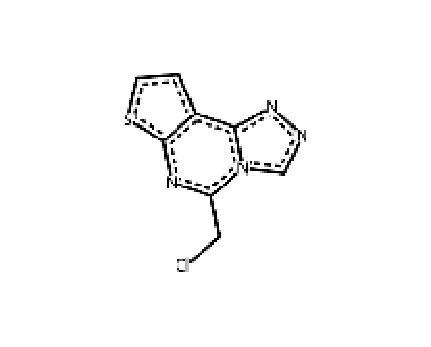 ClCc1nc2sccc2c2nncn12